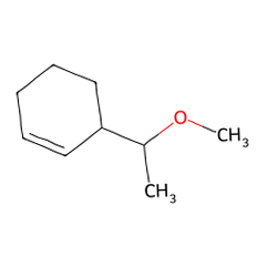 COC(C)C1C=CCCC1